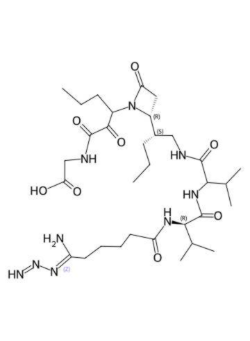 CCCC(C(=O)C(=O)NCC(=O)O)N1C(=O)C[C@@H]1[C@@H](CCC)CNC(=O)C(NC(=O)[C@H](NC(=O)CCCC/C(N)=N/N=N)C(C)C)C(C)C